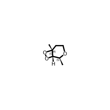 C[C@@H]1OCC[C@@]2(C)OO[C@@H]12